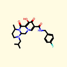 CC(C)CN1CCC(C)N2C(=O)c3c(O)c(=O)c(C(=O)NCc4ccc(F)cc4)cn3CC12